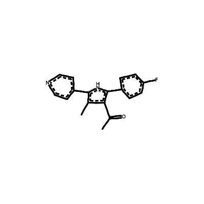 CC(=O)c1c(-c2ccc(F)cc2)[nH]c(-c2ccncc2)c1C